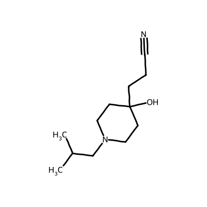 C[C](C)CN1CCC(O)(CCC#N)CC1